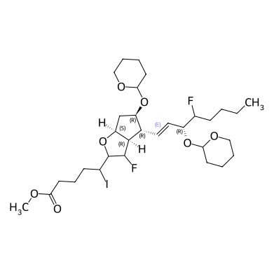 CCCCC(F)[C@@H](/C=C/[C@@H]1[C@H]2C(F)C(C(I)CCCC(=O)OC)O[C@H]2C[C@H]1OC1CCCCO1)OC1CCCCO1